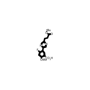 COc1cc(F)c(-c2cnc(CCC(=O)OC(C)(C)C)cn2)cc1C(=O)O